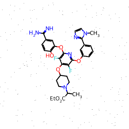 CCOC(=O)C(C)N1CCC(Oc2c(F)c(Oc3cccc(-c4nccn4C)c3)nc(Oc3cc(C(=N)N)ccc3O)c2F)CC1